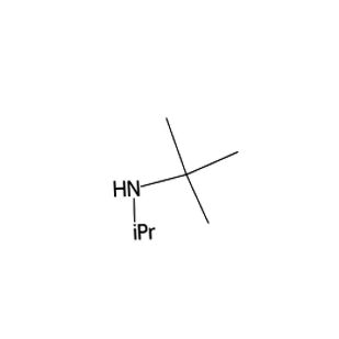 [CH2]C(C)NC(C)(C)C